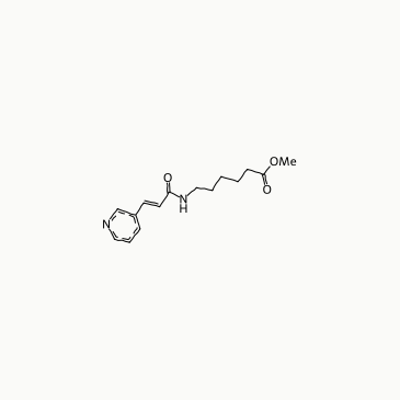 COC(=O)CCCCCNC(=O)C=Cc1cccnc1